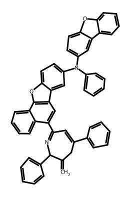 C=C1CC(c2ccccc2)=CC(c2cc3c4cc(N(c5ccccc5)c5ccc6oc7ccccc7c6c5)ccc4oc3c3ccccc23)=NC1c1ccccc1